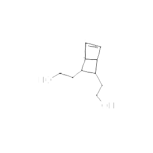 OCCC1C2C=CC2C1CCO